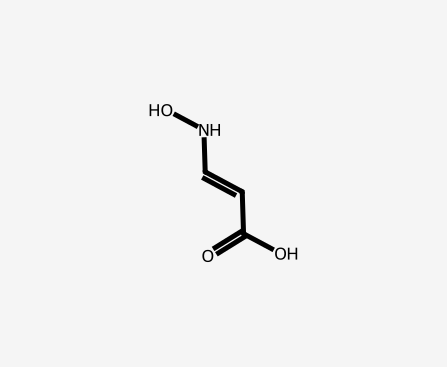 O=C(O)C=CNO